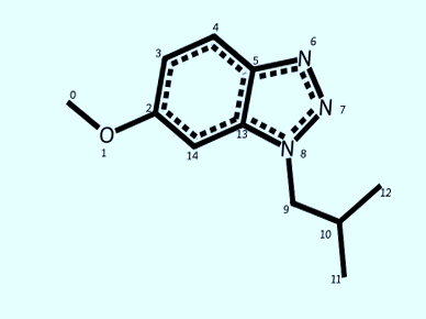 COc1ccc2nnn(CC(C)C)c2c1